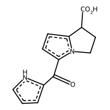 O=C(c1ccc[nH]1)c1ccc2n1CCC2C(=O)O